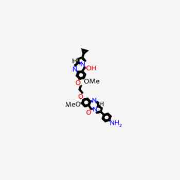 COc1cc2c(cc1OCCCOc1cc3c(cc1OC)C(O)N1C=C(C4CC4)C[C@H]1C=N3)N=C[C@@H]1CC(c3ccc(N)cc3)=CN1C2=O